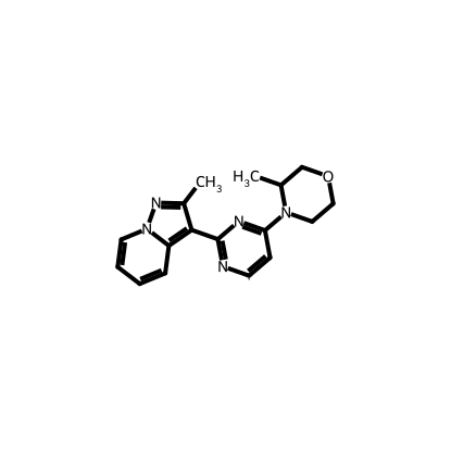 Cc1nn2ccccc2c1-c1n[c]cc(N2CCOCC2C)n1